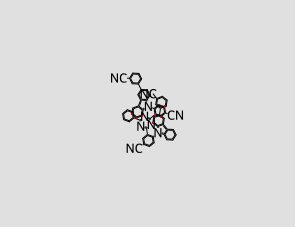 N#Cc1cccc(-c2ccc3c(c2)c2ccccc2n3-c2ccc(C#N)cc2-c2nc(-c3ccccc3)nc(-c3cc(C#N)ccc3-n3c4ccccc4c4cc(-c5cccc(C#N)c5)ccc43)n2)c1